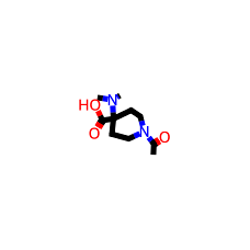 CC(=O)N1CCC(C(=O)O)(N(C)C)CC1